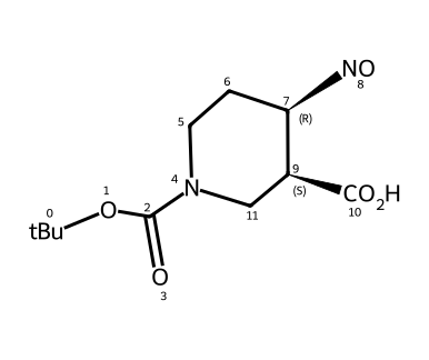 CC(C)(C)OC(=O)N1CC[C@@H](N=O)[C@@H](C(=O)O)C1